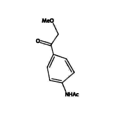 COCC(=O)c1ccc(NC(C)=O)cc1